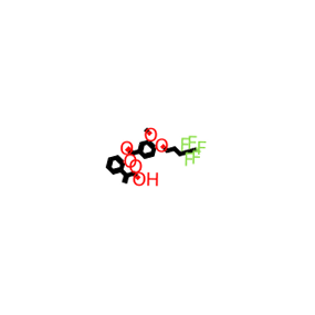 C=C(C(=O)O)c1ccccc1OC(=O)c1ccc(OCCCC(F)(F)C(F)(F)F)c(OC)c1